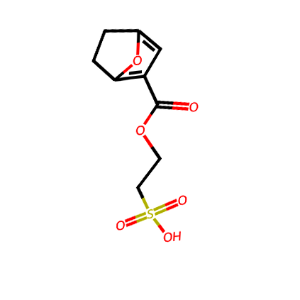 O=C(OCCS(=O)(=O)O)c1cc2oc1CC2